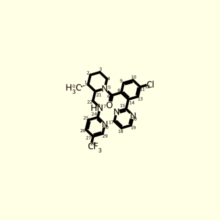 C[C@@H]1CCCN(C(=O)c2ccc(Cl)cc2-c2ncccn2)C1CNc1ccc(C(F)(F)F)cn1